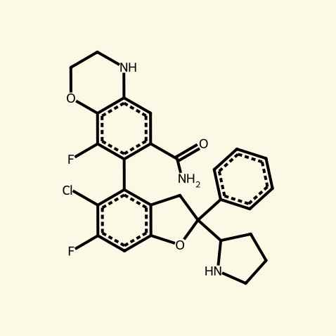 NC(=O)c1cc2c(c(F)c1-c1c(Cl)c(F)cc3c1CC(c1ccccc1)(C1CCCN1)O3)OCCN2